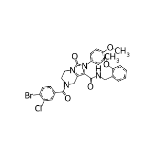 COc1ccc(-n2c(C(=O)NCc3ccccc3OC)c3n(c2=O)CCN(C(=O)c2ccc(Br)c(Cl)c2)C3)cc1